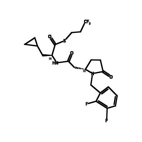 O=C(C[C@@H]1CCC(=O)N1Cc1cccc(F)c1F)N[C@@H](CC1CC1)C(=O)SCCC(F)(F)F